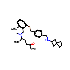 CNC(=O)CCC(C=O)N(C)Cc1c(C=O)cccc1SCc1ccc(CNC2CC3(CCC3)C2)cc1